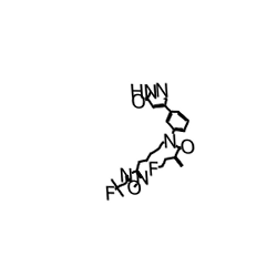 C=C(CCF)C(=O)N(CCCCCc1noc(C(C)(C)F)n1)c1cccc(-c2cn[nH]c(=O)c2)c1